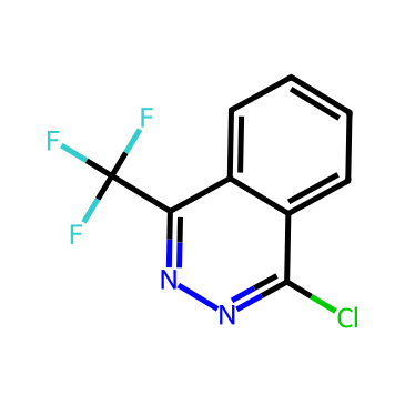 FC(F)(F)c1nnc(Cl)c2ccccc12